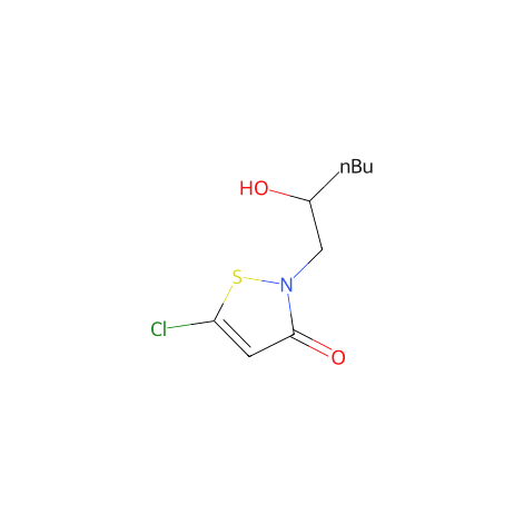 CCCCC(O)Cn1sc(Cl)cc1=O